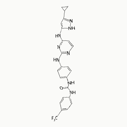 O=C(Nc1ccc(Nc2nccc(Nc3cc(C4CC4)n[nH]3)n2)cc1)Nc1ccc(C(F)(F)F)cc1